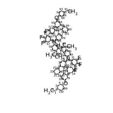 C=Cc1ccc(Oc2ccc(C3(c4ccc(F)cc4)c4ccccc4-c4ccc(N(c5cc(F)c(F)c(F)c5)c5ccc6c(c5)C5(CC6(C)C)CC(C)(C)c6ccc(N(c7cc(F)c(F)c(F)c7)c7ccc8c(c7)C(c7ccc(F)cc7)(c7ccc(Oc9ccc(C=C)cc9)cc7)c7ccccc7-8)cc65)cc43)cc2)cc1